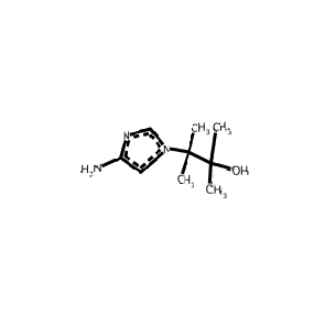 CC(C)(O)C(C)(C)n1cnc(N)c1